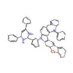 C1=C(c2ccccc2)NC(c2cccc(-n3c4cc5oc6ccccc6c5cc4c4c3ccc3c5ccccc5n(-c5ccccc5)c34)c2)NC1c1ccccc1